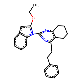 CCOc1cc2ccccc2n1-c1nc2c(c(CCc3ccccc3)n1)CCCC2